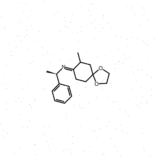 CC1CC2(CC/C1=N\[C@H](C)c1ccccc1)OCCO2